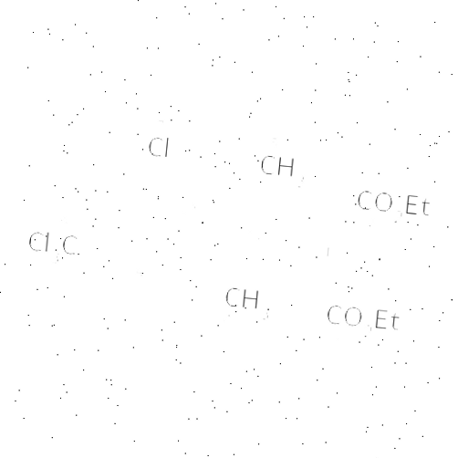 CCOC(=O)C(C(=O)OCC)C(C)(C)C(Cl)CC(Cl)(Cl)Cl